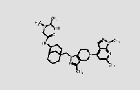 Cc1cc(N2CCc3c(c(C)nn3CC34CCCC(C3)C(NC(=O)CN(C)C(C)O)CC4)C2)c2cnn(C)c2n1